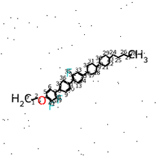 C=CCOc1ccc(-c2ccc(-c3ccc(C4CCC(C5CCC(CCCCC)CC5)CC4)cc3F)cc2)c(F)c1F